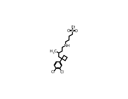 CCS(=O)(=O)CCCCNCCC(C)CC1(c2ccc(Cl)c(Cl)c2)CCC1